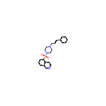 O=S(=O)(c1cccc2cnccc12)N1CCN(C/C=C/c2ccccc2)CC1